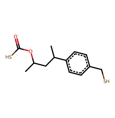 CC(CC(C)c1ccc(CS)cc1)OC(=O)S